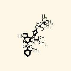 Cc1ccccc1S(=O)(=O)c1nc2[nH]ccc2c2c1nc([C@@H](C)O)n2N1CC(OC(=O)NC(C)(C)C)C1